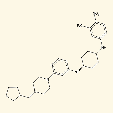 O=[N+]([O-])c1ccc(N[C@H]2CC[C@H](Oc3ccnc(N4CCN(CC5CCCC5)CC4)c3)CC2)cc1C(F)(F)F